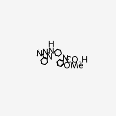 COc1ccccc1N(C[C@H]1CC[C@@H](Nc2nc3c(c(N(C)C)n2)CCCC3)CC1)C(=O)O